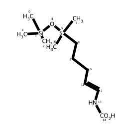 C[Si](C)(C)O[Si](C)(C)CCCC=CNC(=O)O